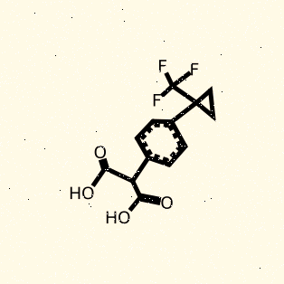 O=C(O)C(C(=O)O)c1ccc(C2(C(F)(F)F)CC2)cc1